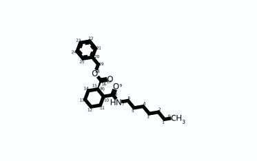 CCCCCCCNC(=O)C1CCCC[C@H]1C(=O)OCc1ccccc1